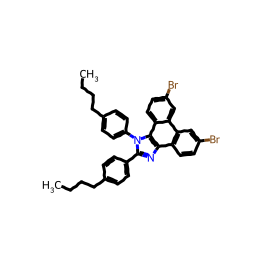 CCCCc1ccc(-c2nc3c4ccc(Br)cc4c4cc(Br)ccc4c3n2-c2ccc(CCCC)cc2)cc1